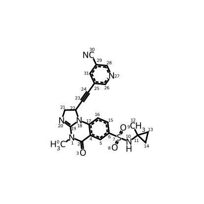 CN1C(=O)c2cc(S(=O)(=O)NC3(C)CC3)ccc2N2C1=NCC2C#Cc1cncc(C#N)c1